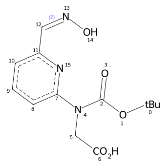 CC(C)(C)OC(=O)N(CC(=O)O)c1cccc(/C=N\O)n1